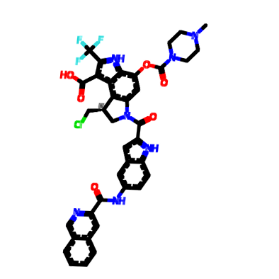 CN1CCN(C(=O)Oc2cc3c(c4c(C(=O)O)c(C(F)(F)F)[nH]c24)[C@H](CCl)CN3C(=O)c2cc3cc(NC(=O)c4cc5ccccc5cn4)ccc3[nH]2)CC1